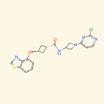 O=C(NC1CN(c2ccnc(Cl)n2)C1)[C@H]1C[C@H](Oc2cccc3scnc23)C1